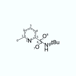 Cc1cccc(S(=O)(=O)NC(C)(C)C)n1